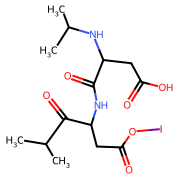 CC(C)NC(CC(=O)O)C(=O)NC(CC(=O)OI)C(=O)C(C)C